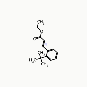 CCOC(=O)/C=C/c1ccccc1C(C)(C)C